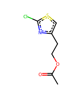 CC(=O)OCCc1csc(Cl)n1